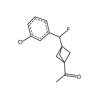 CC(=O)C12CC(C(F)c3cccc(Cl)c3)(C1)C2